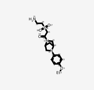 CCOc1ccc(N2CC3CC2CN3C(=O)CS(=O)(=O)CCN)cc1